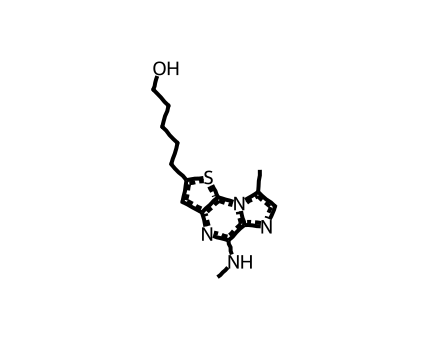 CNc1nc2cc(CCCCCO)sc2n2c(C)cnc12